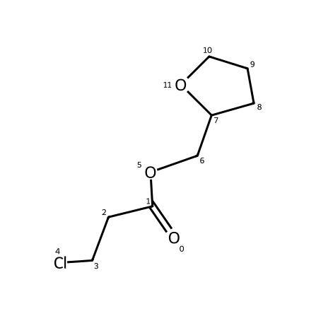 O=C(CCCl)OCC1CCCO1